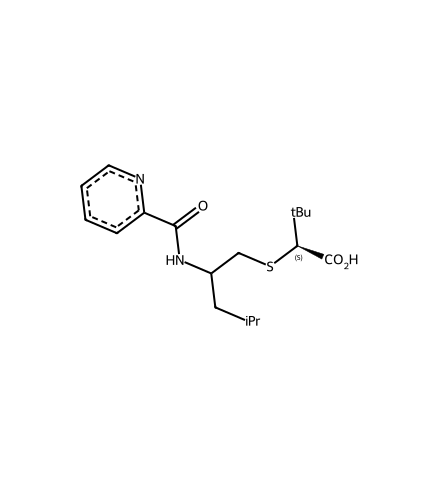 CC(C)CC(CS[C@H](C(=O)O)C(C)(C)C)NC(=O)c1ccccn1